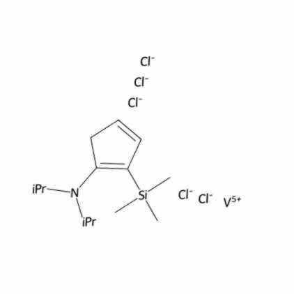 CC(C)N(C1=C([Si](C)(C)C)C=CC1)C(C)C.[Cl-].[Cl-].[Cl-].[Cl-].[Cl-].[V+5]